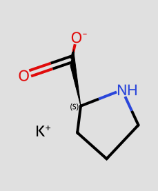 O=C([O-])[C@@H]1CCCN1.[K+]